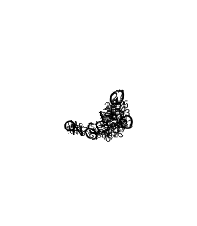 C[C@H](CCC(=O)OCCN1CCOCC1)C1CC[C@@]2(C)C3C(=O)CC4CC(=O)CCC4(C)[C@H]3CC(=O)C12C